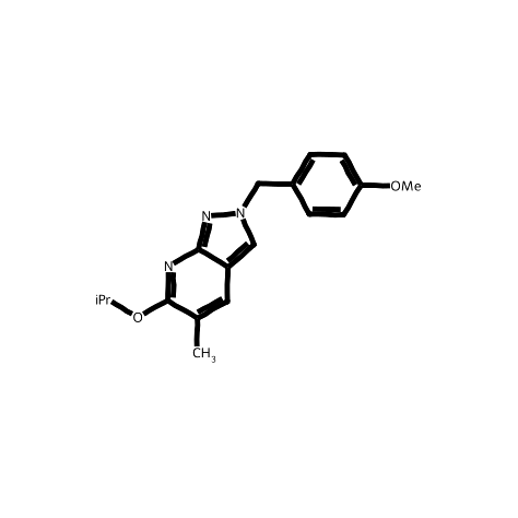 COc1ccc(Cn2cc3cc(C)c(OC(C)C)nc3n2)cc1